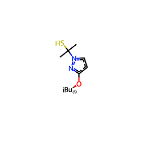 CC[C@H](C)Oc1ccn(C(C)(C)S)n1